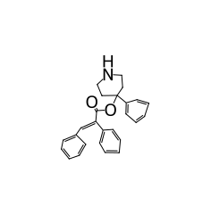 O=C(OC1(c2ccccc2)CCNCC1)/C(=C/c1ccccc1)c1ccccc1